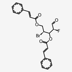 O=C[C@@H](F)C(OC(=O)/C=C/c1ccccc1)[C@@H](Br)COC(=O)/C=C/c1ccccc1